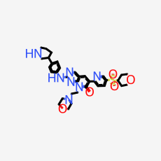 O=c1c(-c2ccc(S(=O)(=O)C3CCOCC3)cn2)cc2cnc(Nc3ccc(C4CCCNC4)cc3)nc2n1CCN1CCOCC1